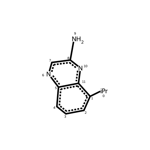 CC(C)c1cccc2ncc(N)nc12